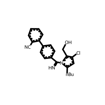 CCCCc1cc(Cl)c(CO)n1C(=N)c1ccc(-c2ccccc2C#N)cc1